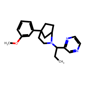 CCC(c1cnccn1)N1CCC2(c3cccc(OC)c3)CCC1C2